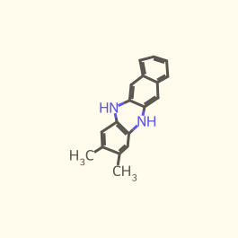 Cc1cc2c(cc1C)Nc1cc3ccccc3cc1N2